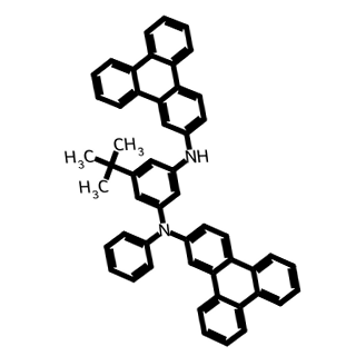 CC(C)(C)c1cc(Nc2ccc3c4ccccc4c4ccccc4c3c2)cc(N(c2ccccc2)c2ccc3c4ccccc4c4ccccc4c3c2)c1